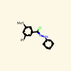 CSc1cc(C(Cl)=NNc2ccccc2)cc(C(C)C)c1